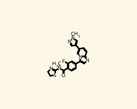 CN(C(=O)c1ccc(-c2cnc3ccc(-c4cnn(C)c4)cn23)cc1F)C1=NCCS1